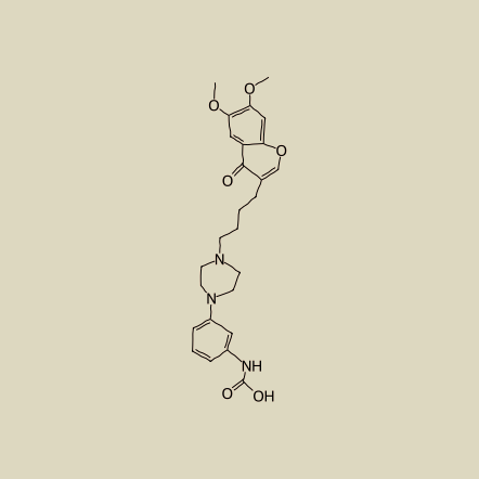 COc1cc2occ(CCCCN3CCN(c4cccc(NC(=O)O)c4)CC3)c(=O)c2cc1OC